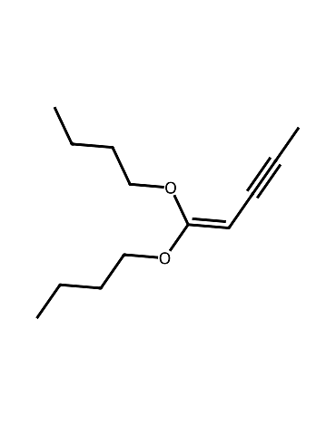 CC#CC=C(OCCCC)OCCCC